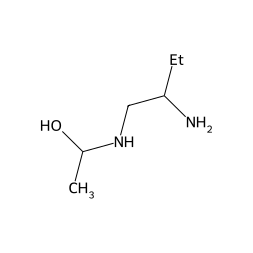 CCC(N)CNC(C)O